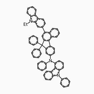 CCn1c2ccccc2c2ccc(-c3cc4c(c5ccccc35)-c3ccc(N(c5ccccc5)c5cccc6c5c5ccccc5n6-c5ccccc5)cc3C4(c3ccccc3)c3ccccc3)cc21